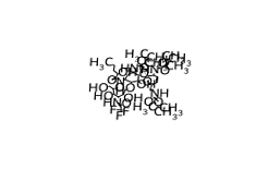 CCC[C@H](O)C(=O)N[C@@H]1C[C@@H](NC(=O)OC(C)(C)C)C(O[C@H]2OC(CNC(=O)OC(C)(C)C)C=CC2NC(=O)OC(C)(C)C)C(O)[C@H]1O[C@H]1OC(CO)[C@@H](O)[C@H](NC(=O)C(F)(F)F)C1O